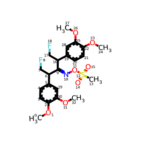 COc1ccc(C(CF)C(=NOS(C)(=O)=O)C(CF)c2ccc(OC)c(OC)c2)cc1OC